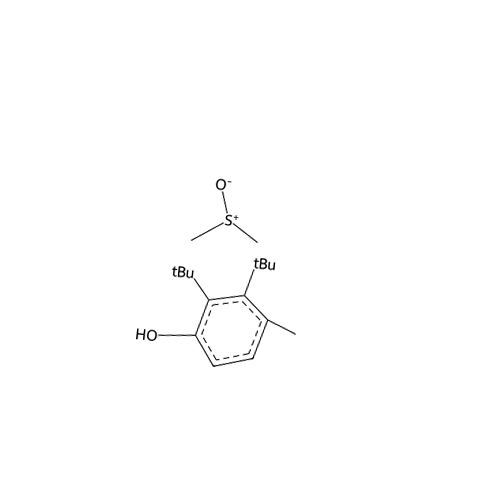 C[S+](C)[O-].Cc1ccc(O)c(C(C)(C)C)c1C(C)(C)C